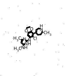 CNc1cc(C)nc(Nc2cc3c(c(C4=CCN[C@H](C)CC4)c2Cl)OCCO3)n1